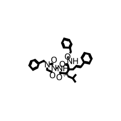 CC(C)C[C@@H](C(=O)NN1C(=O)CN(Cc2ccccc2)C1=O)C(CC=Cc1ccccc1)C(=O)NOCc1ccccc1